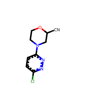 N#CC1CN(c2ccc(Cl)nn2)CCO1